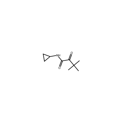 CC(C)(C)C(=O)C(=O)NC1CC1